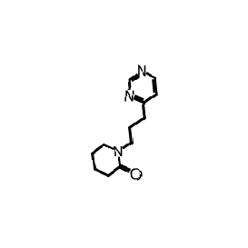 O=C1CCCCN1CCCc1ccncn1